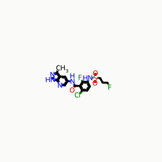 Cc1n[nH]c2ncc(NC(=O)c3c(Cl)ccc(NS(=O)(=O)CCCF)c3F)cc12